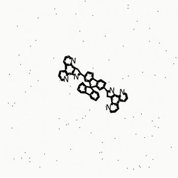 c1ccc2c(c1)-c1ccccc1C21c2cc(C3=Nc4c(c5ncccc5c5cccnc45)C3)ccc2-c2ccc(C3=Nc4c(c5ncccc5c5cccnc45)C3)cc21